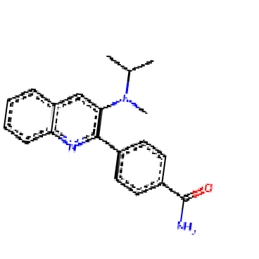 CC(C)N(C)c1cc2ccccc2nc1-c1ccc(C(N)=O)cc1